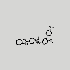 COc1ccc(NC(=O)N2CCC(c3cc4ccccc4[nH]3)CC2)cc1C1CCN(C(C)C)CC1